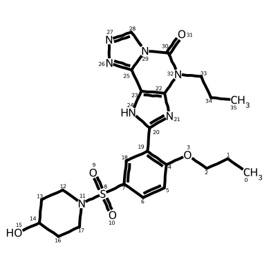 CCCOc1ccc(S(=O)(=O)N2CCC(O)CC2)cc1-c1nc2c([nH]1)c1nncn1c(=O)n2CCC